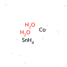 O.O.[Co].[SnH4]